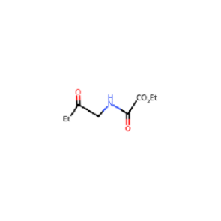 CCOC(=O)C(=O)NCC(=O)CC